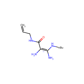 C=CCNC(=O)/C(N)=C(/N)NCCCC